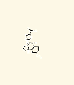 Cc1ccc2c(c1)[C@@H]1CCC[C@@H]1[C@H](c1ncc(C(=O)O)s1)N2